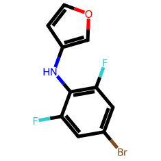 Fc1cc(Br)cc(F)c1Nc1ccoc1